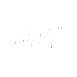 CCc1ccc(C(CC(N)=O)c2nc3c(Cl)c(N4CCC(F)(F)CC4)c(Cl)cc3[nH]2)cc1